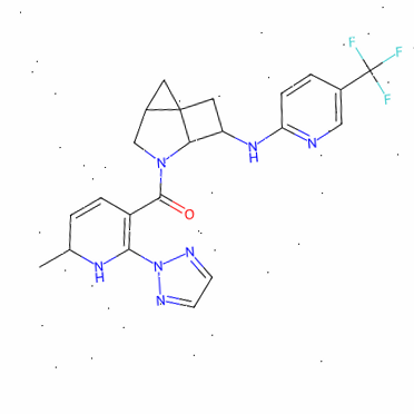 CC1C=CC(C(=O)N2CC3CC34CC(Nc3ccc(C(F)(F)F)cn3)C24)=C(n2nccn2)N1